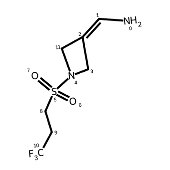 NC=C1CN(S(=O)(=O)CCC(F)(F)F)C1